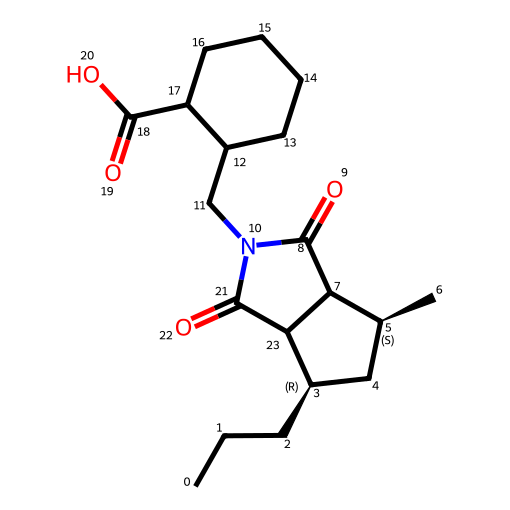 CCC[C@@H]1C[C@H](C)C2C(=O)N(CC3CCCCC3C(=O)O)C(=O)C21